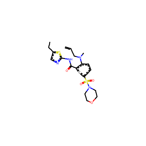 C=CCN(C)c1ccc(S(=O)(=O)N2CCOCC2)cc1C(=O)Nc1ncc(CC)s1